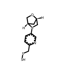 SSCc1ccc(N2C[C@@H]3C[C@H]2CO3)cn1